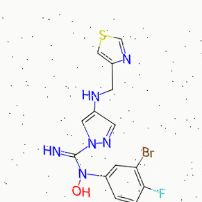 N=C(N(O)c1ccc(F)c(Br)c1)n1cc(NCc2cscn2)cn1